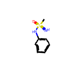 CS(=N)(=O)Nc1ccccc1